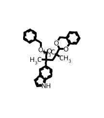 CC(CC(C)(C)C1OCc2ccccc2O1)(C(=O)OCc1ccccc1)c1ccc2[nH]ccc2c1